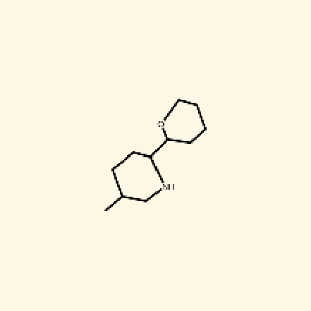 CC1CCC(C2CCCCO2)NC1